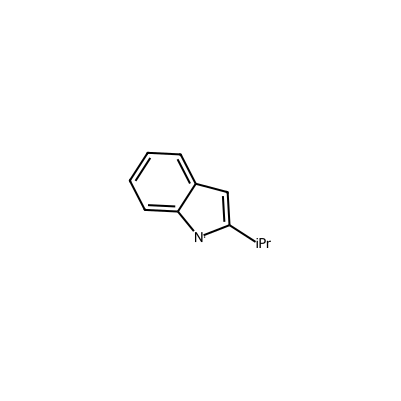 CC(C)C1=Cc2ccccc2[N]1